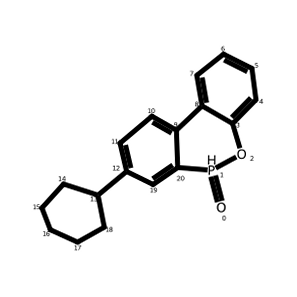 O=[PH]1Oc2ccccc2-c2ccc(C3CCCCC3)cc21